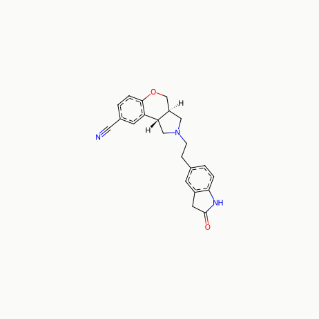 N#Cc1ccc2c(c1)[C@H]1CN(CCc3ccc4c(c3)CC(=O)N4)C[C@@H]1CO2